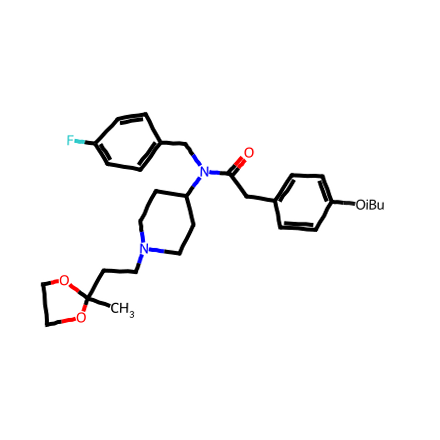 CC(C)COc1ccc(CC(=O)N(Cc2ccc(F)cc2)C2CCN(CCC3(C)OCCO3)CC2)cc1